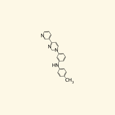 Cc1ccc(Nc2cccc(N3C=CC(c4cccnc4)=NC3)c2)cc1